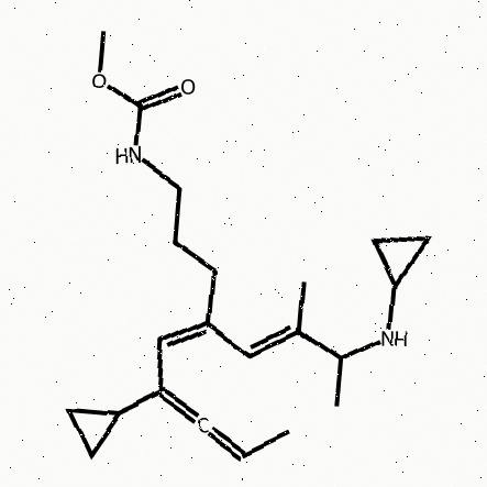 CC=C=C(/C=C(\C=C(/C)C(C)NC1CC1)CCCNC(=O)OC)C1CC1